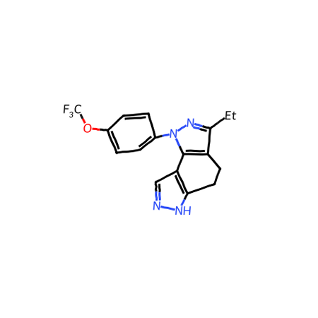 CCc1nn(-c2ccc(OC(F)(F)F)cc2)c2c1CCc1[nH]ncc1-2